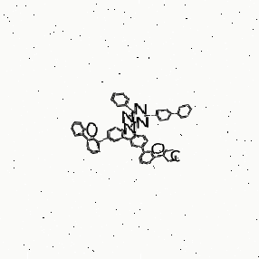 c1ccc(-c2ccc(-c3nc(-c4ccccc4)nc(-n4c5ccc(-c6cccc7c6oc6ccccc67)cc5c5cc(-c6cccc7c6oc6ccccc67)ccc54)n3)cc2)cc1